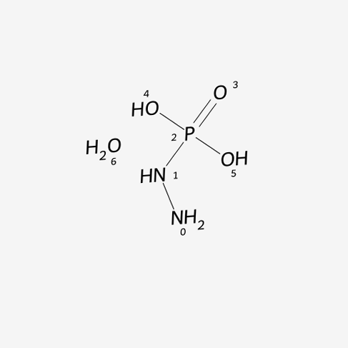 NNP(=O)(O)O.O